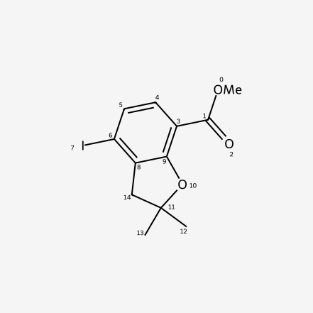 COC(=O)c1ccc(I)c2c1OC(C)(C)C2